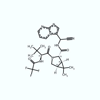 CC(C)(C)[C@H](NC(=O)C(F)(F)F)C(=O)N1C[C@H]2[C@@H]([C@H]1C(=O)NC(C#N)c1cnc3ncccn13)C2(C)C